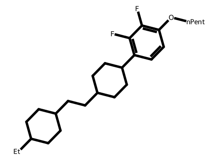 CCCCCOc1ccc(C2CCC(CCC3CCC(CC)CC3)CC2)c(F)c1F